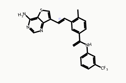 C=C(Nc1cccc(C(F)(F)F)c1)c1ccc(C)c(/C=C/c2csc3c(N)ncnc23)c1